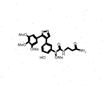 COc1cc(-c2sncc2-c2cccc(N(OC)C(=O)NCCC(N)=O)c2)cc(OC)c1OC.Cl